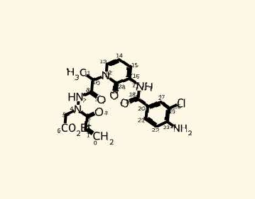 C=CC(=O)N(CC(=O)OCC)NC(=O)C(C)n1cccc(NC(=O)c2ccc(N)c(Cl)c2)c1=O